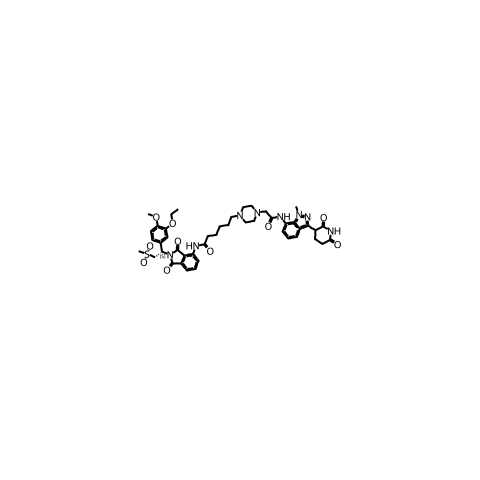 CCOc1cc([C@@H](CS(C)(=O)=O)N2C(=O)c3cccc(NC(=O)CCCCCN4CCN(CC(=O)Nc5cccc6c(C7CCC(=O)NC7=O)nn(C)c56)CC4)c3C2=O)ccc1OC